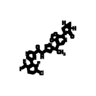 CC(c1cnc(N2C[C@H]3C[C@H]3C2=O)c2c1OCO2)n1cc(NC(=O)c2cncc(-c3c(C(F)F)ccc(Cl)c3F)n2)cn1